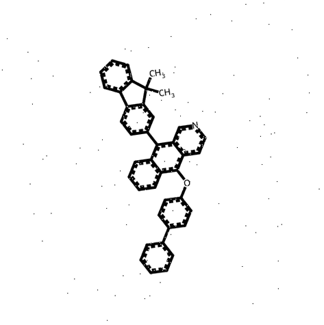 CC1(C)c2ccccc2-c2ccc(-c3c4ccccc4c(Oc4ccc(-c5ccccc5)cc4)c4ccncc34)cc21